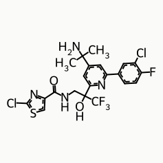 CC(C)(N)c1cc(-c2ccc(F)c(Cl)c2)nc(C(O)(CNC(=O)c2csc(Cl)n2)C(F)(F)F)c1